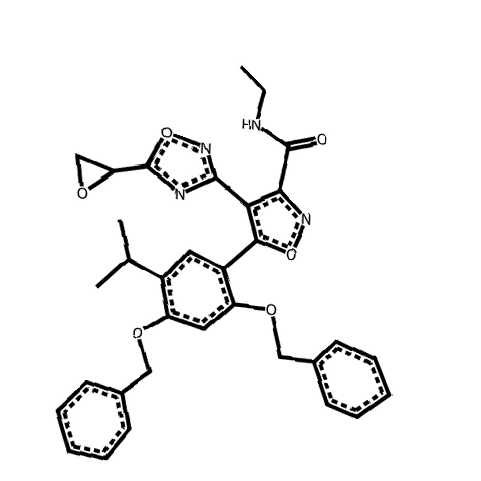 CCNC(=O)c1noc(-c2cc(C(C)C)c(OCc3ccccc3)cc2OCc2ccccc2)c1-c1noc(C2CO2)n1